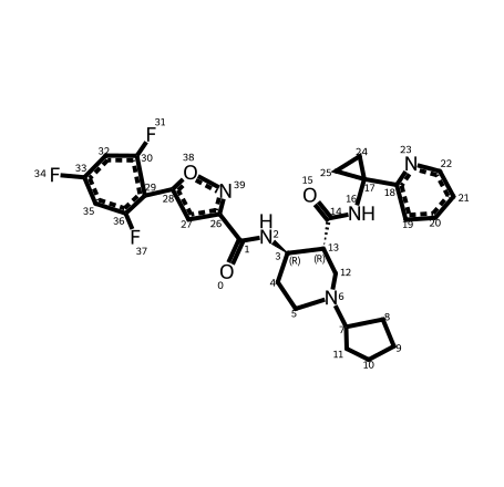 O=C(N[C@@H]1CCN(C2CCCC2)C[C@H]1C(=O)NC1(c2ccccn2)CC1)c1cc(-c2c(F)cc(F)cc2F)on1